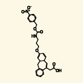 O=C(O)CC1=CC2C=CC(OCCCNC(=O)OCc3ccc([N+](=O)[O-])cc3)=CC2Cc2ccccc21